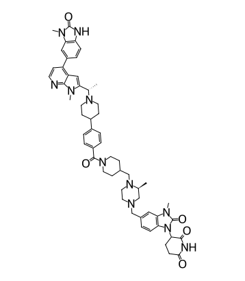 C[C@H]1CN(Cc2ccc3c(c2)n(C)c(=O)n3C2CCC(=O)NC2=O)CCN1CC1CCN(C(=O)c2ccc(C3CCN([C@@H](C)c4cc5c(-c6ccc7[nH]c(=O)n(C)c7c6)ccnc5n4C)CC3)cc2)CC1